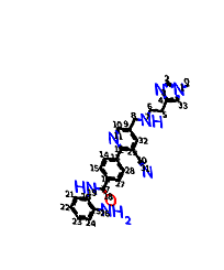 Cn1cnc(CCNCc2cnc(-c3ccc(C(=O)Nc4ccccc4N)cc3)c(C#N)c2)c1